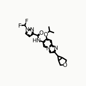 CC(C)Oc1cc2nc(C3C4COCC43)cn2cc1NC(=O)c1ccn(C(F)F)n1